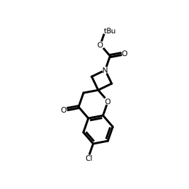 CC(C)(C)OC(=O)N1CC2(CC(=O)c3cc(Cl)ccc3O2)C1